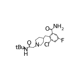 CC(C)(C)NC(=O)CN1CCC(Cc2c(Cl)cc(F)cc2C(N)=O)CC1